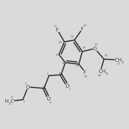 CCOC(=O)CC(=O)c1cc(F)c(F)c(OC(C)C)c1F